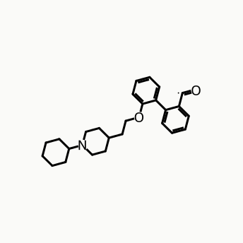 O=[C]c1ccccc1-c1ccccc1OCCC1CCN(C2CCCCC2)CC1